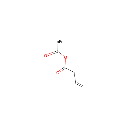 C=CCC(=O)OC(=O)CCC